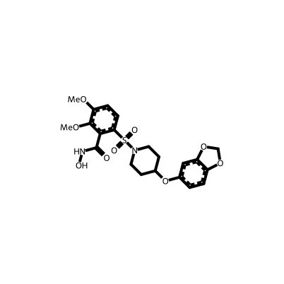 COc1ccc(S(=O)(=O)N2CCC(Oc3ccc4c(c3)OCO4)CC2)c(C(=O)NO)c1OC